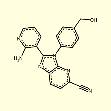 N#Cc1ccc2nc(-c3cccnc3N)n(-c3ccc(CO)cc3)c2n1